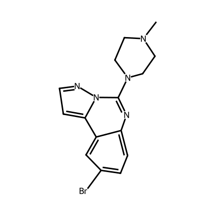 CN1CCN(c2nc3ccc(Br)cc3c3ccnn23)CC1